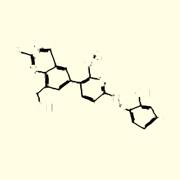 CCc1cc(-c2ccc(NSc3ccccc3C)nc2OC)cc2cnc(F)nc12